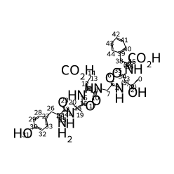 C[C@@H](O)[C@H](NC(=O)CNC(=O)[C@H](CCC(=O)O)NC(=O)C(C)(C)NC(=O)[C@@H](N)Cc1ccc(O)cc1)C(=O)N[C@@H](Cc1ccccc1)C(=O)O